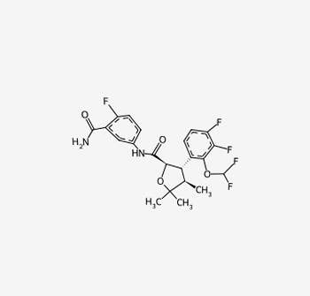 C[C@@H]1[C@@H](c2ccc(F)c(F)c2OC(F)F)[C@H](C(=O)Nc2ccc(F)c(C(N)=O)c2)OC1(C)C